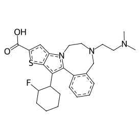 CN(C)CCN1CCn2c(c(C3CCCCC3F)c3sc(C(=O)O)cc32)-c2ccccc2C1